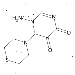 NN1[C]=NC(=O)C(=O)C1N1CCSCC1